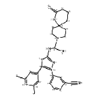 Cc1cc(-c2sc(NC(O)N3CCC4(CCCC(=O)N4)CC3)nc2-c2cccc(C#N)c2)cc(C)n1